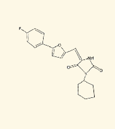 O=C1NC(=Cc2ccc(-c3ccc(F)cc3)o2)C(=O)N1C1CCCCC1